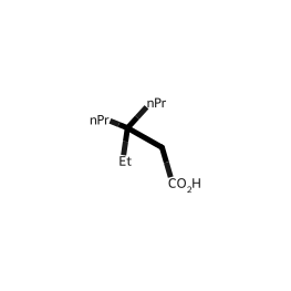 CCCC(CC)(CCC)CC(=O)O